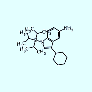 CC(C)[Si](C(C)C)(C(C)C)n1cc(C2CCCCC2)c2cc(N)ccc21